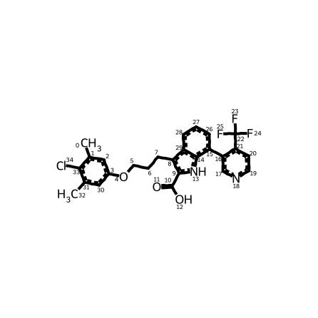 Cc1cc(OCCCc2c(C(=O)O)[nH]c3c(-c4cnccc4C(F)(F)F)cccc23)cc(C)c1Cl